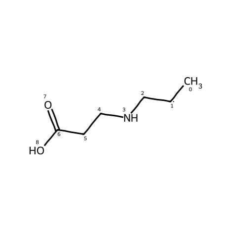 C[CH]CNCCC(=O)O